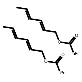 CC=CC=CCOC(=O)C(C)C.CC=CC=CCOC(=O)CCC